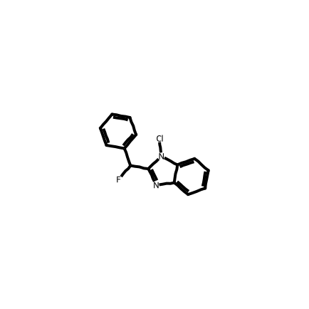 FC(c1ccccc1)c1nc2ccccc2n1Cl